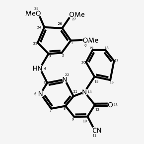 COc1cc(Nc2ncc3cc(C#N)c(=O)n(-c4ccccc4)c3n2)cc(OC)c1OC